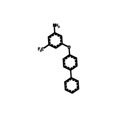 Nc1cc(Oc2ccc(-c3ccccc3)cc2)cc(C(F)(F)F)c1